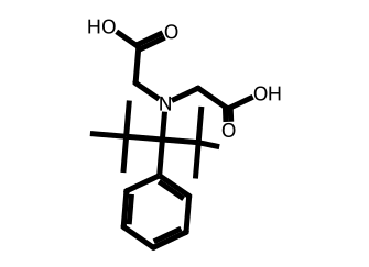 CC(C)(C)C(c1ccccc1)(N(CC(=O)O)CC(=O)O)C(C)(C)C